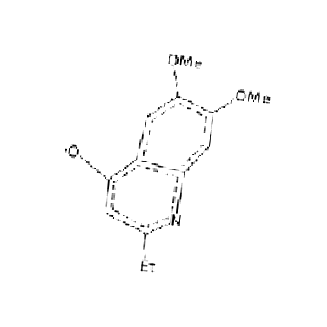 CCc1cc([O])c2cc(OC)c(OC)cc2n1